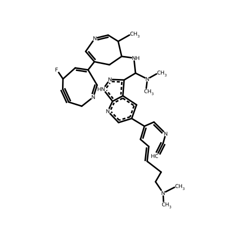 C#C/N=C\C(=C/C=CCCN(C)C)c1cnc2[nH]nc(C(NC3CC(C4=C/C(F)C#CC/N=C\4)=CN=CC3C)N(C)C)c2c1